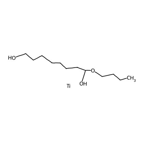 CCCCOC(O)CCCCCCCO.[Ti]